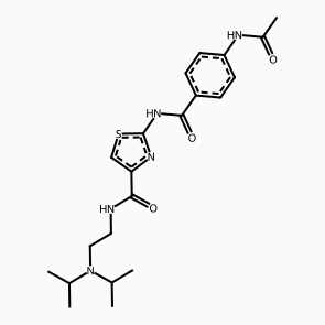 CC(=O)Nc1ccc(C(=O)Nc2nc(C(=O)NCCN(C(C)C)C(C)C)cs2)cc1